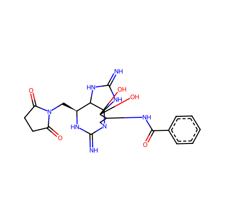 N=C1NC2[C@H](CN3C(=O)CCC3=O)NC(=N)N3CC(NC(=O)c4ccccc4)C(O)(O)C23N1